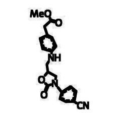 COC(=O)Cc1ccc(NCC2CN(c3ccc(C#N)cc3)C(=O)O2)cc1